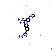 C=C(Nc1cc2cc(-c3cnn(C)c3)ccc2cn1)c1cccc(CN2CCCC2)c1